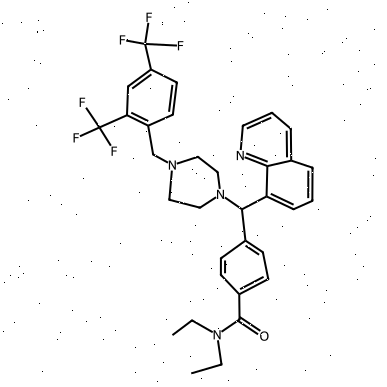 CCN(CC)C(=O)c1ccc(C(c2cccc3cccnc23)N2CCN(Cc3ccc(C(F)(F)F)cc3C(F)(F)F)CC2)cc1